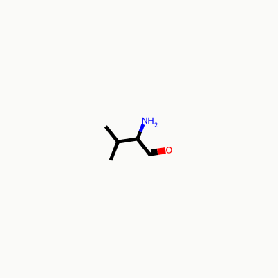 CC(C)C(N)[C]=O